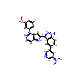 COc1cc(F)cc(-c2nccc3[nH]c(-c4n[nH]c5ccc(-c6cncc(N(C)C)c6)cc45)cc23)c1